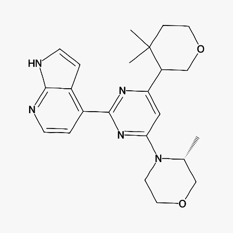 C[C@@H]1COCCN1c1cc(C2COCCC2(C)C)nc(-c2ccnc3[nH]ccc23)n1